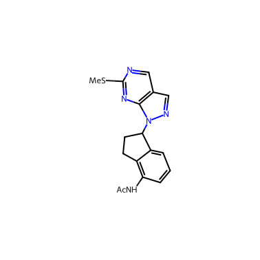 CSc1ncc2cnn(C3CCc4c(NC(C)=O)cccc43)c2n1